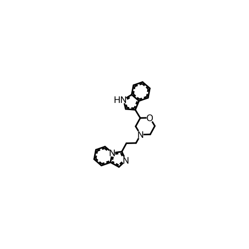 c1ccc2c(C3CN(CCc4ncc5ccccn45)CCO3)c[nH]c2c1